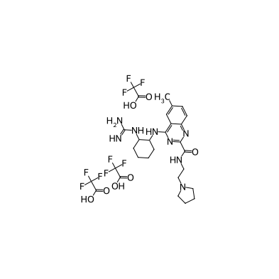 Cc1ccc2nc(C(=O)NCCN3CCCC3)nc(NC3CCCCC3NC(=N)N)c2c1.O=C(O)C(F)(F)F.O=C(O)C(F)(F)F.O=C(O)C(F)(F)F